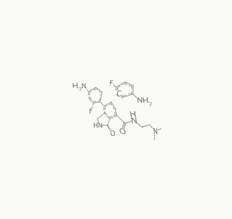 CN(C)CCNC(=O)c1ccc(-c2ccc(N)cc2F)c2c1C(=O)NC2.Nc1ccc(F)cc1